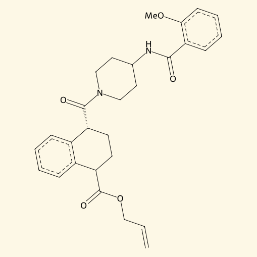 C=CCOC(=O)C1CC[C@@H](C(=O)N2CCC(NC(=O)c3ccccc3OC)CC2)c2ccccc21